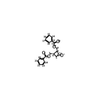 O=C(OC[C@@H]1C[S+]([O-])[C@@H]1COC(=O)c1ccccc1)c1ccccc1